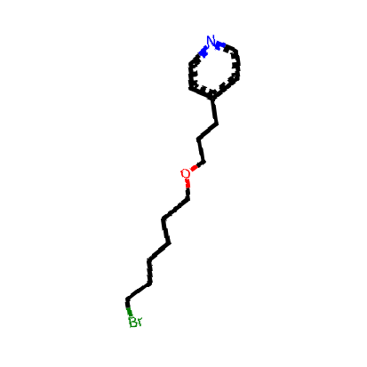 BrCCCCCCOCCCc1ccncc1